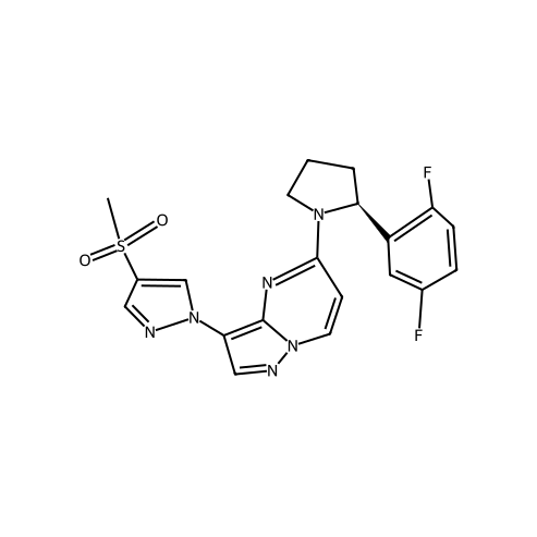 CS(=O)(=O)c1cnn(-c2cnn3ccc(N4CCC[C@H]4c4cc(F)ccc4F)nc23)c1